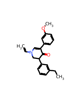 C=CN1C=C(c2cccc(OC)c2)C(=O)C(c2cccc(CC)c2)C1